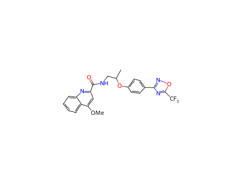 COc1cc(C(=O)NCC(C)Oc2ccc(-c3noc(C(F)(F)F)n3)cc2)nc2ccccc12